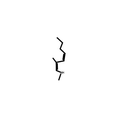 CCC/C=C\C(C)=C/NC